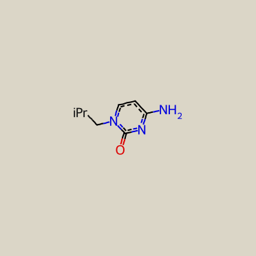 CC(C)Cn1ccc(N)nc1=O